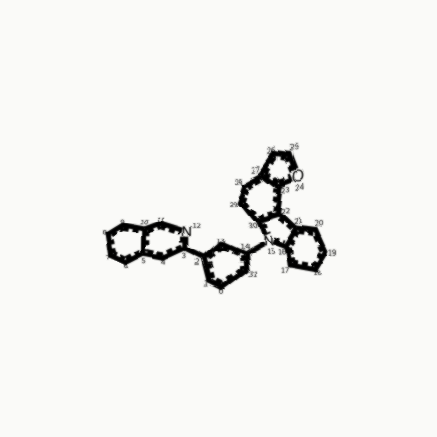 c1cc(-c2cc3ccccc3cn2)cc(-n2c3ccccc3c3c4occc4ccc32)c1